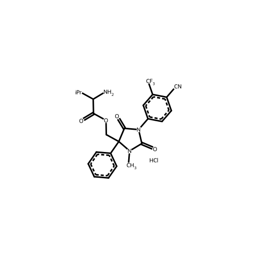 CC(C)C(N)C(=O)OCC1(c2ccccc2)C(=O)N(c2ccc(C#N)c(C(F)(F)F)c2)C(=O)N1C.Cl